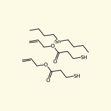 C=CCOC(=O)CCS.C=CCOC(=O)CCS.CCC[CH2][Sn][CH2]CCC